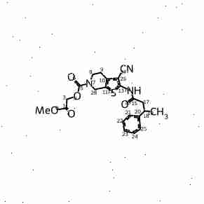 COC(=O)COC(=O)N1CCc2c(sc(NC(=O)CC(C)c3ccccc3)c2C#N)C1